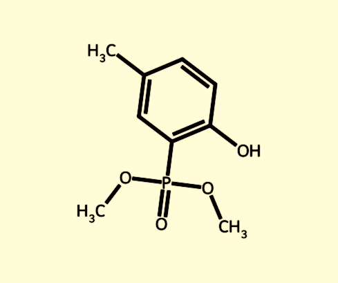 COP(=O)(OC)c1cc(C)ccc1O